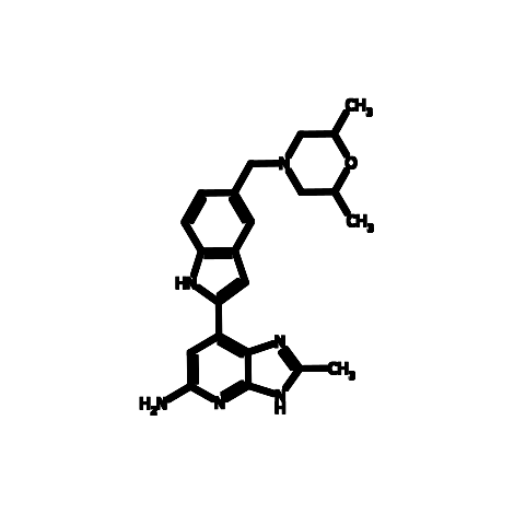 Cc1nc2c(-c3cc4cc(CN5CC(C)OC(C)C5)ccc4[nH]3)cc(N)nc2[nH]1